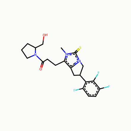 Cn1c(CCC(=O)N2CCCC2CO)c2n(c1=S)CC(c1c(F)ccc(F)c1F)C2